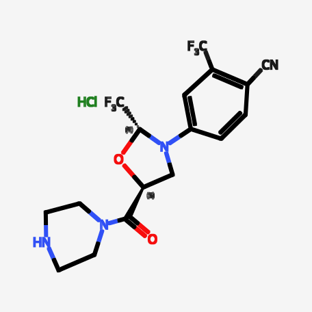 Cl.N#Cc1ccc(N2C[C@@H](C(=O)N3CCNCC3)O[C@@H]2C(F)(F)F)cc1C(F)(F)F